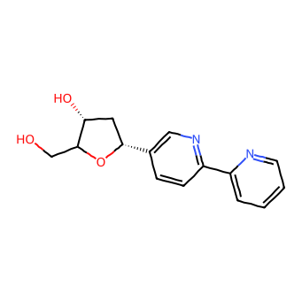 OCC1O[C@@H](c2ccc(-c3ccccn3)nc2)C[C@H]1O